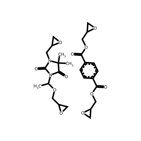 CC(OCC1CO1)N1C(=O)N(CC2CO2)C(C)(C)C1=O.O=C(OCC1CO1)c1ccc(C(=O)OCC2CO2)cc1